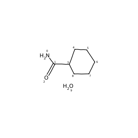 NC(=O)C1CCCCC1.O